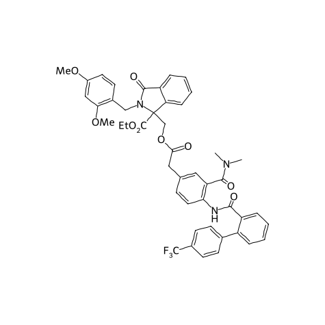 CCOC(=O)C1(COC(=O)Cc2ccc(NC(=O)c3ccccc3-c3ccc(C(F)(F)F)cc3)c(C(=O)N(C)C)c2)c2ccccc2C(=O)N1Cc1ccc(OC)cc1OC